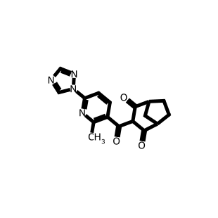 Cc1nc(-n2cncn2)ccc1C(=O)C1C(=O)C2CCC(C2)C1=O